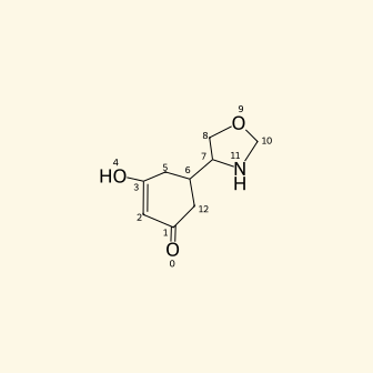 O=C1C=C(O)CC(C2COCN2)C1